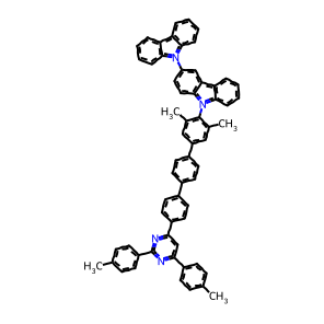 Cc1ccc(-c2cc(-c3ccc(-c4ccc(-c5cc(C)c(-n6c7ccccc7c7cc(-n8c9ccccc9c9ccccc98)ccc76)c(C)c5)cc4)cc3)nc(-c3ccc(C)cc3)n2)cc1